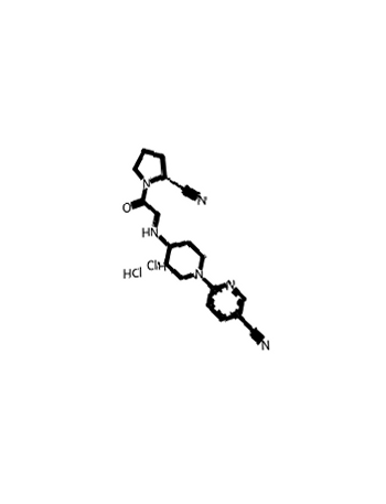 Cl.Cl.N#Cc1ccc(N2CCC(NCC(=O)N3CCC[C@H]3C#N)CC2)nc1